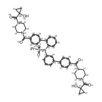 CC(C)S(=O)(=O)N(c1cccc(-c2ccc(C(=O)N3CCN(C(=O)C4(O)CC4)CC3)cc2)c1)c1cc[c]cc1-c1ccc(C(=O)N2CCN(C(=O)C3(O)CC3)CC2)cc1